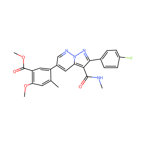 CNC(=O)c1c(-c2ccc(F)cc2)nn2ncc(-c3cc(C(=O)OC)c(OC)cc3C)cc12